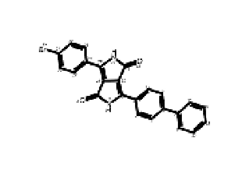 O=C1NC(c2ccc(-c3ccccc3)cc2)=C2C(=O)NC(c3ccc(Br)cc3)=C12